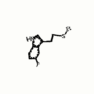 CCSCCc1c[nH]c2ccc(F)cc12